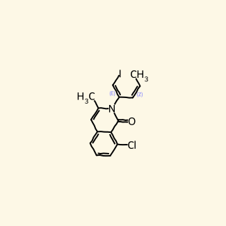 C/C=C\C(=C/I)n1c(C)cc2cccc(Cl)c2c1=O